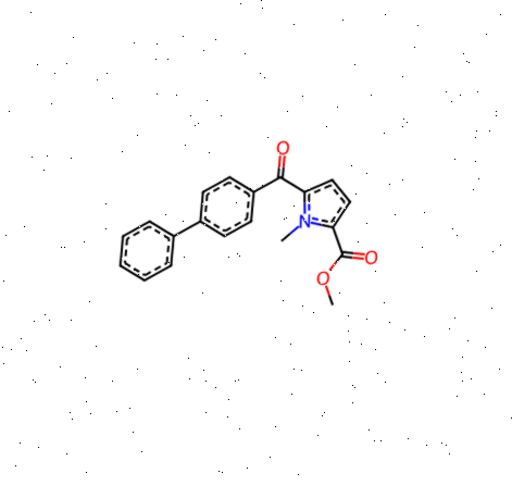 COC(=O)c1ccc(C(=O)c2ccc(-c3ccccc3)cc2)n1C